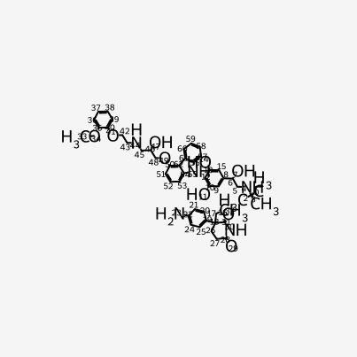 CC(C)(C)NCC(O)c1cc(O)cc(O)c1.CCC1(c2ccc(N)cc2)CCC(=O)NC1=O.COc1ccccc1OCCNCC(O)COc1cccc2[nH]c3ccccc3c12